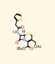 CC(=O)OCC1=C(C(=O)OCC(C)C)N2C(=O)[C@@H](NC(=O)Cc3cccs3)[C@H]2SC1